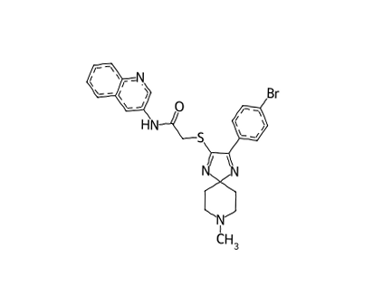 CN1CCC2(CC1)N=C(SCC(=O)Nc1cnc3ccccc3c1)C(c1ccc(Br)cc1)=N2